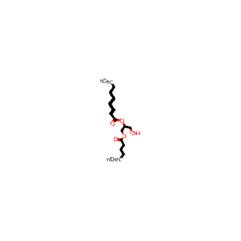 CCCCCCCCCCCCCCCCC(=O)OC(CO)COC(=O)CCCCCCCCCCCCC